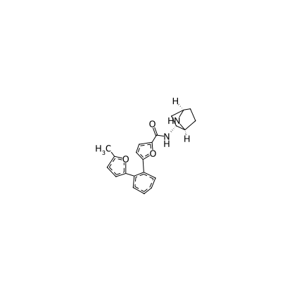 Cc1ccc(-c2ccccc2-c2ccc(C(=O)N[C@@H]3C[C@H]4CC[C@@H]3N4)o2)o1